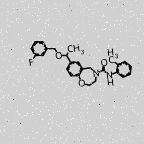 Cc1ccccc1NC(=O)N1CCOc2ccc(C(C)OCc3cccc(F)c3)cc2C1